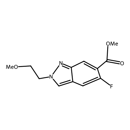 COCCn1cc2cc(F)c(C(=O)OC)cc2n1